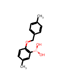 Cc1ccc(COc2ccc(C)cc2B(O)O)cc1